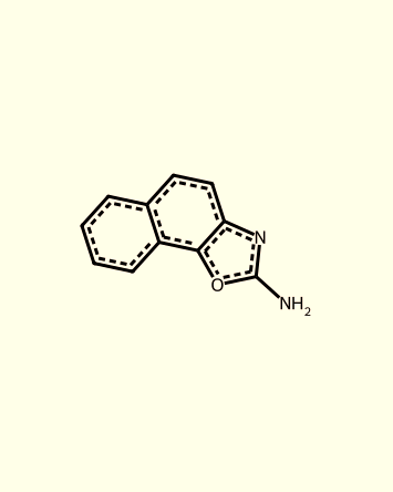 Nc1nc2ccc3ccccc3c2o1